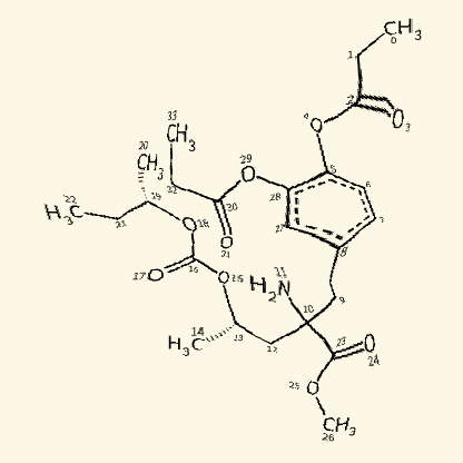 CCC(=O)Oc1ccc(CC(N)(C[C@H](C)OC(=O)O[C@@H](C)CC)C(=O)OC)cc1OC(=O)CC